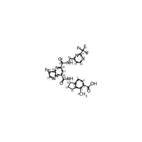 Cc1c(C(=O)O)ccc2c1CC[C@@H]2NC(=O)c1cc(C(=O)NCc2ccnc(C(F)(F)F)n2)nc2c(F)cnn12